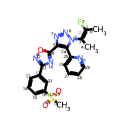 C/C(F)=C(\C)n1nnc(-c2nc(-c3cccc(S(C)(=O)=O)c3)no2)c1-c1ccccn1